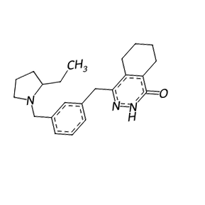 CCC1CCCN1Cc1cccc(Cc2n[nH]c(=O)c3c2CCCC3)c1